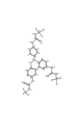 CC(C)(C)OC(=O)Oc1ccc(CC(c2ccc(OC(=O)OC(C)(C)C)cc2)c2ccc(OC(=O)OC(C)(C)C)cc2)cc1